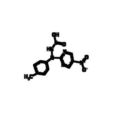 Cc1ccc(N(NS(=O)O)c2ncc([N+](=O)[O-])cn2)cc1